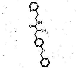 NC(Cc1ccc(OCc2ccccc2)cc1)C(=O)NCCc1ccccn1